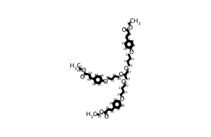 CCOC(=O)C=Cc1ccc(OCCCCOCC(COCCCCOc2ccc(C=CC(=O)OCC)cc2)OCCCCOc2ccc(C=CC(=O)OCC)cc2)cc1